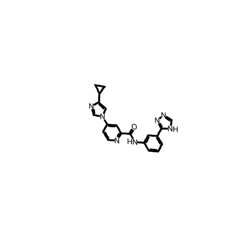 O=C(Nc1cccc(-c2nnc[nH]2)c1)c1cc(-n2cnc(C3CC3)c2)ccn1